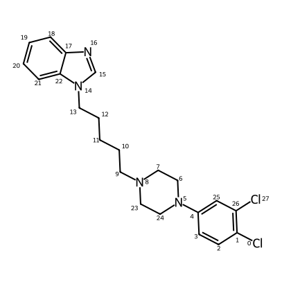 Clc1ccc(N2CCN(CCCCCn3cnc4ccccc43)CC2)cc1Cl